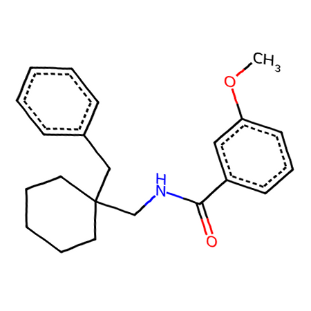 COc1cccc(C(=O)NCC2(Cc3ccccc3)CCCCC2)c1